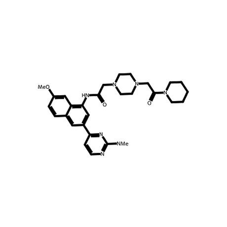 CNc1nccc(-c2cc(NC(=O)CN3CCN(CC(=O)N4CCCCC4)CC3)c3cc(OC)ccc3c2)n1